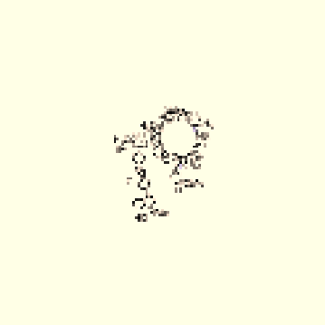 CC(C)CC(N(C)C)C1(c2ccc(Cl)cc2)CCC1.CC[C@@H]1/C=C(\C)C[C@H](C)C[C@H](OC)[C@H]2O[C@@](O)(C(=O)C(=O)N3CCCC[C@H]3C(=O)O[C@H](/C(C)=C/[C@@H]3CC[C@@H](Cl)[C@H](OC)C3)[C@H](C)[C@@H](O)CC1=O)[C@H](C)C[C@@H]2OC.CN[C@H]1CC[C@@H](c2ccc(Cl)c(Cl)c2)c2ccccc21.Cl